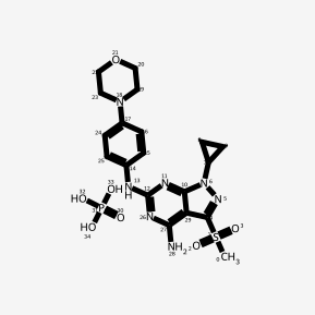 CS(=O)(=O)c1nn(C2CC2)c2nc(Nc3ccc(N4CCOCC4)cc3)nc(N)c12.O=P(O)(O)O